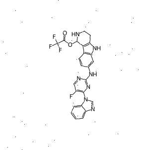 O=C(OC1NCCc2[nH]c3cc(Nc4ncc(F)c(-n5cnc6ccccc65)n4)ccc3c21)C(F)(F)F